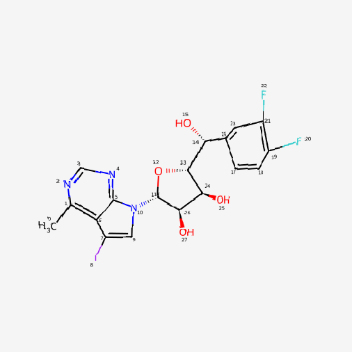 Cc1ncnc2c1c(I)cn2[C@@H]1O[C@H]([C@H](O)c2ccc(F)c(F)c2)[C@@H](O)[C@H]1O